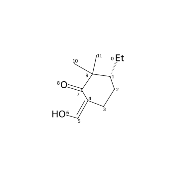 CC[C@@H]1CCC(=CO)C(=O)C1(C)C